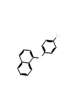 Brc1ccc(Sc2cccc3ccccc23)cc1